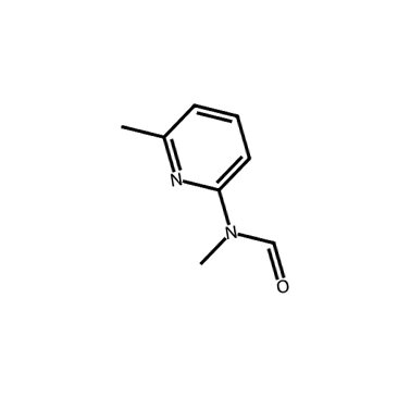 Cc1cccc(N(C)C=O)n1